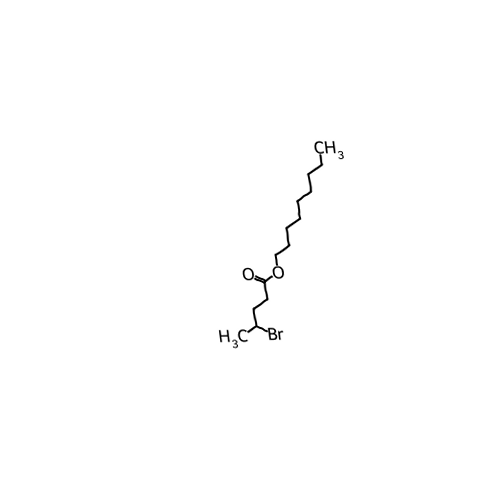 CCCCCCCCCOC(=O)CCC(C)Br